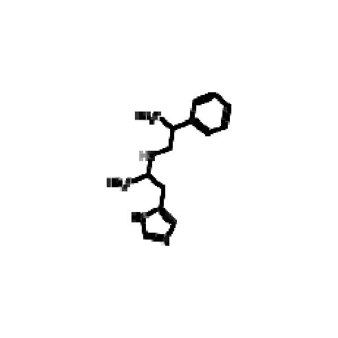 O=C(O)C(Cc1cnc[nH]1)NCC(C(=O)O)c1ccccc1